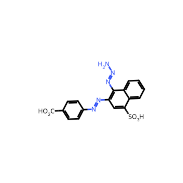 NN=Nc1c(/N=N/c2ccc(C(=O)O)cc2)cc(S(=O)(=O)O)c2ccccc12